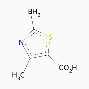 Bc1nc(C)c(C(=O)O)s1